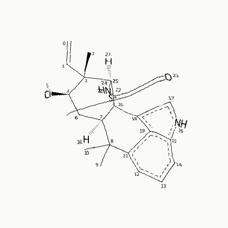 C=C[C@@]1(C)[C@H](Cl)C[C@@H]2C(C)(C)c3cccc4[nH]cc(c34)[C@@]23SC(=O)N[C@@H]13